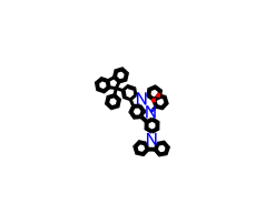 C1=CC2C(C=C1C1(c3ccccc3)c3ccccc3-c3ccccc31)c1ccc3c4cc(-n5c6ccccc6c6ccccc65)ccc4n(-c4ccccc4)c3c1N2c1ccccc1